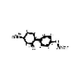 CCCCCCCCCOc1ccc(C2CCC(CCCC)CC2=O)cc1